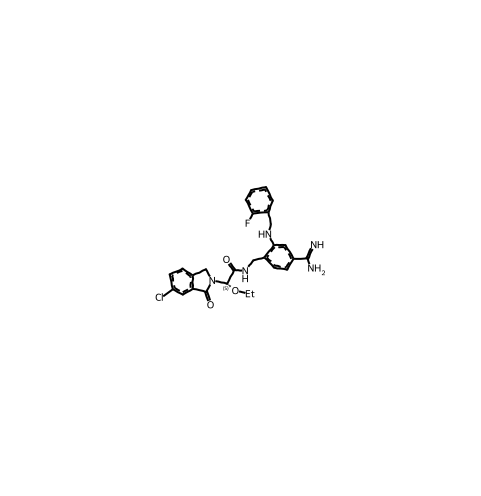 CCO[C@@H](C(=O)NCc1ccc(C(=N)N)cc1NCc1ccccc1F)N1Cc2ccc(Cl)cc2C1=O